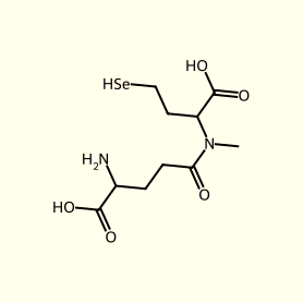 CN(C(=O)CCC(N)C(=O)O)C(CC[SeH])C(=O)O